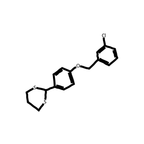 Clc1cccc(COc2ccc(C3SCCCS3)cc2)c1